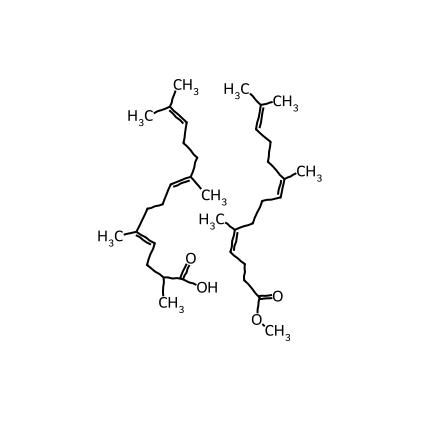 CC(C)=CCCC(C)=CCCC(C)=CCC(C)C(=O)O.COC(=O)CCC=C(C)CCC=C(C)CCC=C(C)C